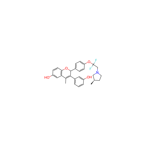 CC1=C(c2cccc(O)c2)C(c2ccc(OC(F)(F)CN3CC[C@@H](C)C3)cc2)Oc2ccc(O)cc21